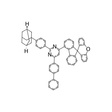 c1ccc(-c2ccc(-c3cc(-c4cccc5c4-c4ccccc4C54c5ccccc5Oc5ccccc54)nc(-c4ccc(C56CC7C[C@H](C5)C[C@H](C7)C6)cc4)n3)cc2)cc1